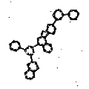 c1ccc(-c2cccc(-c3ccc4c(c3)sc3cc(-c5nc(-c6ccccc6)nc(-c6ccc7ccccc7c6)n5)c5ccccc5c34)c2)cc1